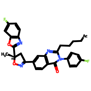 CC(=O)CCCCc1nc2cc(C3=NO[C@](C)(c4nc5ccc(F)cc5o4)C3)ccc2c(=O)n1-c1ccc(F)cc1